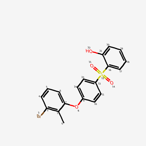 Cc1c(Br)cccc1Oc1ccc(S(=O)(=O)c2ccccc2O)cc1